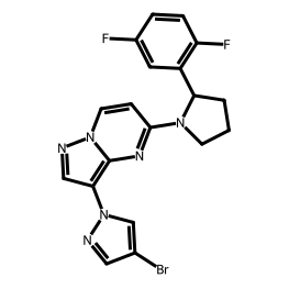 Fc1ccc(F)c(C2CCCN2c2ccn3ncc(-n4cc(Br)cn4)c3n2)c1